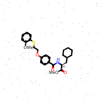 COC(=O)[C@H](CC1CCCCC1)NC(=O)c1ccc(OCCSc2ccccc2OC)cc1